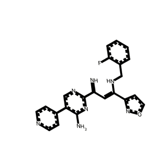 N=C(/C=C(\NCc1ccccc1F)c1ccon1)c1ncc(-c2ccncc2)c(N)n1